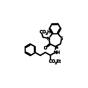 CCOC(=O)C(CCc1ccccc1)N[C@H]1CSc2ccccc2N(CC(=O)O)C1=O